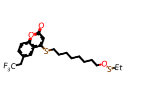 CCSOCCCCCCCCSc1cc(=O)oc2ccc(CC(F)(F)F)cc12